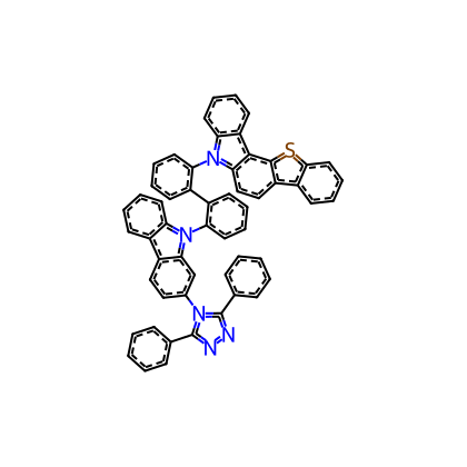 c1ccc(-c2nnc(-c3ccccc3)n2-c2ccc3c4ccccc4n(-c4ccccc4-c4ccccc4-n4c5ccccc5c5c6sc7ccccc7c6ccc54)c3c2)cc1